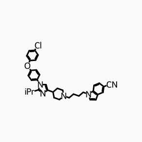 CC(C)c1nc(C2CCN(CCCCn3ccc4cc(C#N)ccc43)CC2)cn1-c1ccc(Oc2ccc(Cl)cc2)cc1